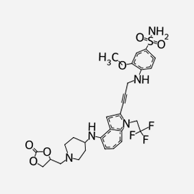 COc1cc(S(N)(=O)=O)ccc1NCC#Cc1cc2c(NC3CCN(CC4COC(=O)O4)CC3)cccc2n1CC(F)(F)F